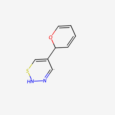 [C]1=NNSC=C1C1C=CC=CO1